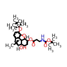 CC1C=C[C@]23c4c5ccc(O[Si](C)(C)C(C)(C)C)c4O[C@H]2C(OC(=O)CCNC(=O)OC(C)(C)C)=CC[C@@]3(O)[C@H]1C5